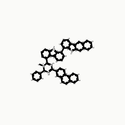 CN1C(c2cccc3oc4c(-c5cccc6c5sc5cc7ccccc7cc56)cccc4c23)=NC(c2ccc3c(ccc4ccccc43)c2)=NC1c1ccccc1